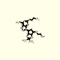 CC1(C)OC2C(OCCO)CC(n3nnc4c(N)nc(SCCC(F)(F)F)nc43)C2O1